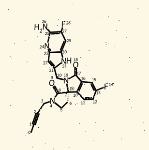 CC#CCN1CC[C@@]2(C1=O)c1ccc(F)cc1C(=O)N2Cc1cc2nc(N)c(F)cc2[nH]1